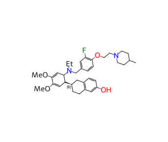 CCN(Cc1ccc(OCCN2CCC(C)CC2)c(F)c1)C1C=C(OC)C(OC)=CC1[C@@H]1CCc2cc(O)ccc2C1